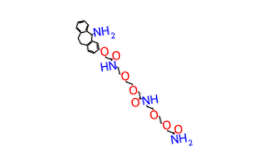 NC(=O)COCCOCCNC(=O)COCCOCCNC(=O)COc1ccc2c(c1)C(N)c1ccccc1CC2